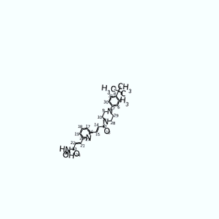 CC(C)(C)c1ccc(N2CCN(C(=O)/C=C/c3cccc(/C=C/C(=O)NO)n3)CC2)cc1